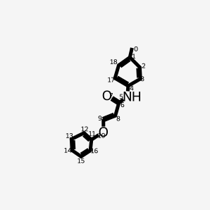 Cc1ccc(NC(=O)C=COc2ccccc2)cc1